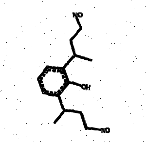 CC(CCN=O)c1cccc(C(C)CCN=O)c1O